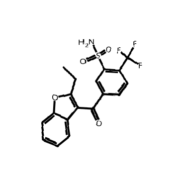 CCc1oc2ccccc2c1C(=O)c1ccc(C(F)(F)F)c(S(N)(=O)=O)c1